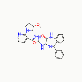 COC1CCN(c2ncccc2-c2nnc(NC3N=C(c4ccccc4)c4ccccc4NC3=O)o2)C1